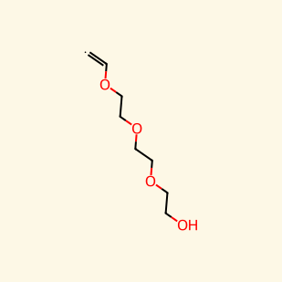 [CH]=COCCOCCOCCO